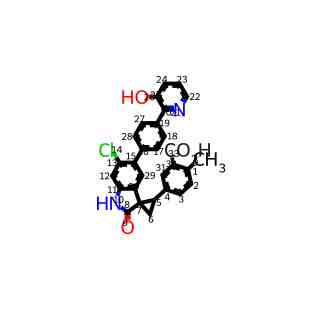 Cc1ccc(C2CC23C(=O)Nc2cc(Cl)c(-c4ccc(-c5ncccc5O)cc4)cc23)cc1C(=O)O